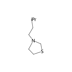 CC(C)CCN1CCSC1